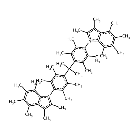 Cc1c(C)c(C(C)(C)c2c(C)c(C)c(-n3c(C)c(C)c4c(C)c(C)c(C)c(C)c43)c(C)c2C)c(C)c(C)c1-n1c(C)c(C)c2c(C)c(C)c(C)c(C)c21